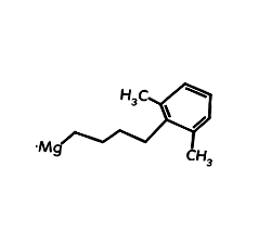 Cc1cccc(C)c1CCC[CH2][Mg]